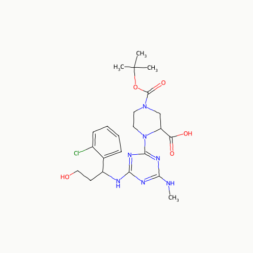 CNc1nc(NC(CCO)c2ccccc2Cl)nc(N2CCN(C(=O)OC(C)(C)C)CC2C(=O)O)n1